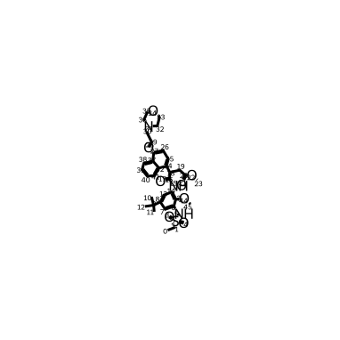 CCS(=O)(=O)Nc1cc(C(C)(C)C)cc(NC(=O)C(CC(=O)OC)c2ccc(OCCN3CCOCC3)c3ccccc23)c1OC